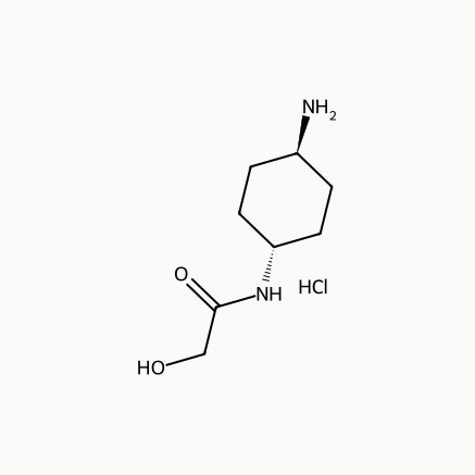 Cl.N[C@H]1CC[C@H](NC(=O)CO)CC1